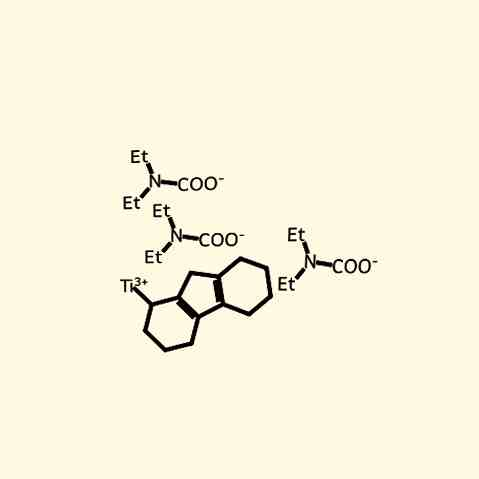 CCN(CC)C(=O)[O-].CCN(CC)C(=O)[O-].CCN(CC)C(=O)[O-].[Ti+3][CH]1CCCC2=C1CC1=C2CCCC1